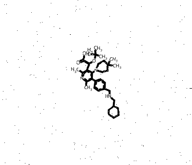 Cc1nc(C)c(C(OC(C)(C)C)C(=O)O)c(N2CCC(C)(C)CC2)c1-c1ccc(CNCC2CCCCC2)cc1